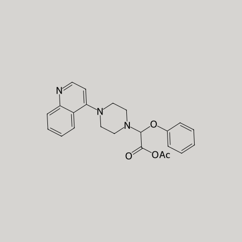 CC(=O)OC(=O)C(Oc1ccccc1)N1CCN(c2ccnc3ccccc23)CC1